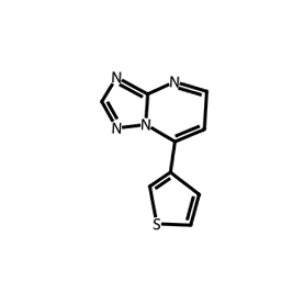 c1cc(-c2ccsc2)n2ncnc2n1